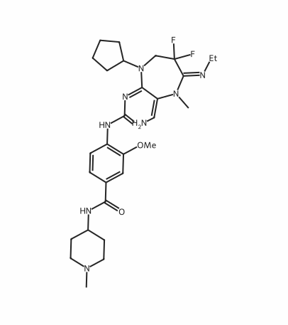 C=C(/N=C1\C(=C/N)N(C)/C(=N/CC)C(F)(F)CN1C1CCCC1)Nc1ccc(C(=O)NC2CCN(C)CC2)cc1OC